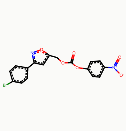 O=C(OCc1cc(-c2ccc(Br)cc2)no1)Oc1ccc([N+](=O)[O-])cc1